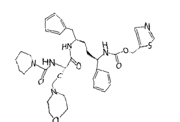 O=C(N[C@H](CC[C@H](Cc1ccccc1)NC(=O)[C@H](CCN1CCOCC1)NC(=O)N1CCCCC1)c1ccccc1)OCc1cncs1